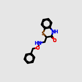 O=C1Nc2ccccc2SC1CNOCc1ccccc1